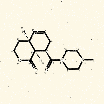 CN1CCN(C(=O)[C@@H]2CC=C[C@@H]3CCOC(=O)[C@@H]32)CC1